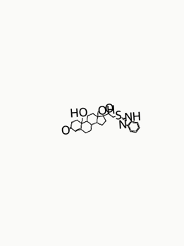 CC12CCC(=O)C=C1CCC1C2[C@@H](O)CC2(C)C1CC[C@]2(O)C(=O)CSc1nc2ccccc2[nH]1